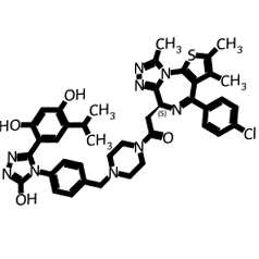 Cc1sc2c(c1C)C(c1ccc(Cl)cc1)=N[C@@H](CC(=O)N1CCN(Cc3ccc(-n4c(O)nnc4-c4cc(C(C)C)c(O)cc4O)cc3)CC1)c1nnc(C)n1-2